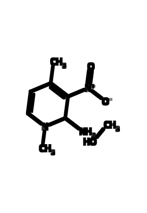 CC1=C([N+](=O)[O-])C(N)N(C)C=C1.CO